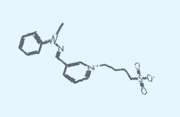 CN(N=Cc1ccc[n+](CCCCS(=O)(=O)[O-])c1)c1ccccc1